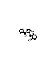 O=C(c1cccs1)N1CCN=C1Nc1c(Cl)cccc1Cl